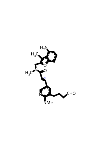 CNc1ncc(/C=C/C(=O)N(C)Cc2oc3cccc(N)c3c2C)cc1CCCC=O